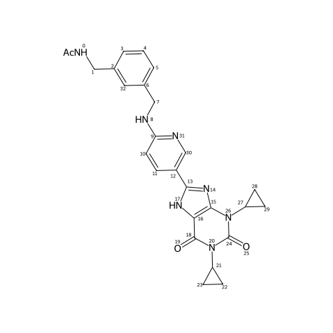 CC(=O)NCc1cccc(CNc2ccc(-c3nc4c([nH]3)c(=O)n(C3CC3)c(=O)n4C3CC3)cn2)c1